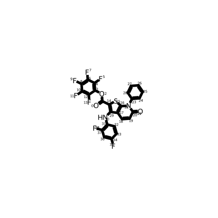 O=C(Oc1c(F)c(F)c(F)c(F)c1F)c1sc2c(ccc(=O)n2-c2ccccc2)c1Nc1ccc(F)cc1F